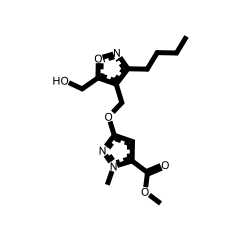 CCCCc1noc(CO)c1COc1cc(C(=O)OC)n(C)n1